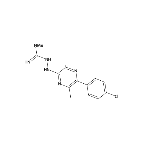 CNC(=N)NNc1nnc(-c2ccc(Cl)cc2)c(C)n1